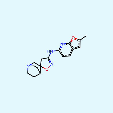 Cc1cc2ccc(NC3=NOC4(C3)CN3CCC4CC3)nc2o1